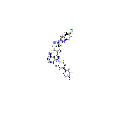 CN1CCN(C2CCC(n3nc(-c4ccc(Nc5nc6ccc(Cl)cc6s5)cc4)c4c(N)ncnc43)CC2)CC1